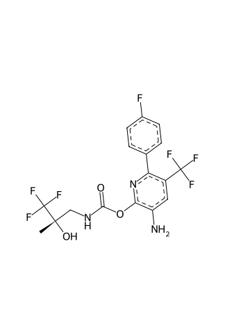 C[C@](O)(CNC(=O)Oc1nc(-c2ccc(F)cc2)c(C(F)(F)F)cc1N)C(F)(F)F